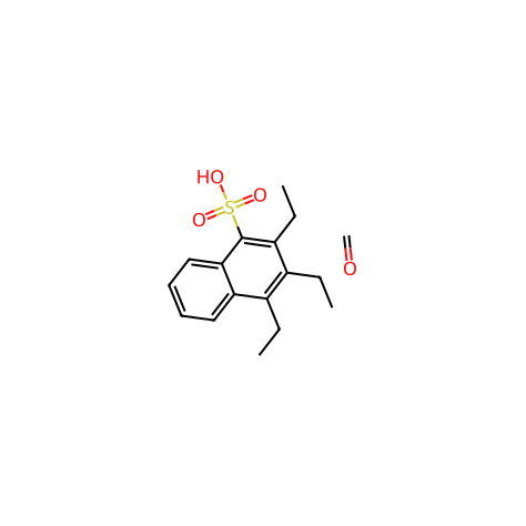 C=O.CCc1c(CC)c(S(=O)(=O)O)c2ccccc2c1CC